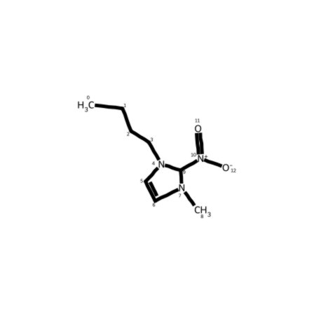 CCCCN1C=CN(C)C1[N+](=O)[O-]